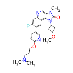 COC1CC(n2c(=O)n(C)c3cnc4cc(F)c(-c5ccc(OCCCN(C)C)nc5)cc4c32)C1